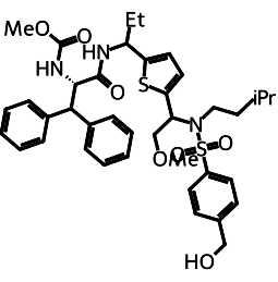 CCC(NC(=O)[C@@H](NC(=O)OC)C(c1ccccc1)c1ccccc1)c1ccc(C(COC)N(CCC(C)C)S(=O)(=O)c2ccc(CO)cc2)s1